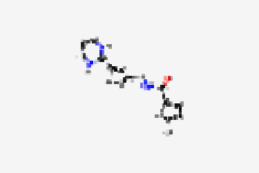 CCC1=CC=C(C(=O)NCC2=CCC(c3ncccn3)=C2)C1